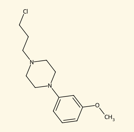 COc1cccc(N2CCN(CCCCl)CC2)c1